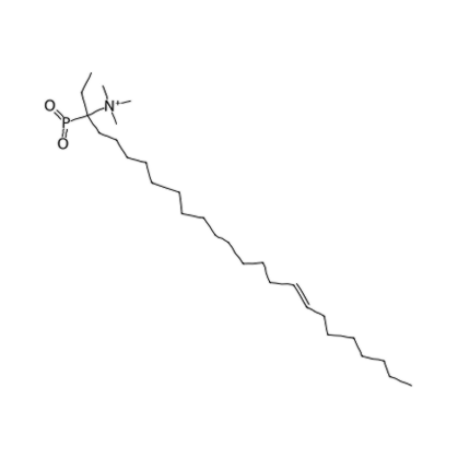 CCCCCCCC=CCCCCCCCCCCCCCC(CC)(P(=O)=O)[N+](C)(C)C